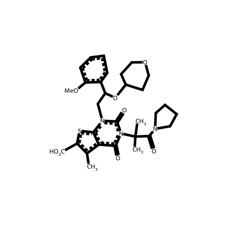 COc1ccccc1C(Cn1c(=O)n(C(C)(C)C(=O)N2CCCC2)c(=O)c2c(C)c(C(=O)O)sc21)OC1CCOCC1